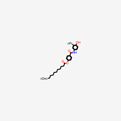 CCCCCCCCCCCCCCCCCCCC(=O)Oc1ccc(C(=O)Nc2ccc(O)c(CCC)c2)cc1